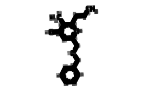 C/C=C/c1oc(COCc2ccccc2)cc(=O)c1C